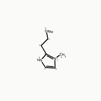 COCCc1[nH]cc[n+]1C